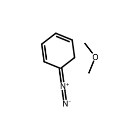 COC.[N-]=[N+]=C1C=CC=CC1